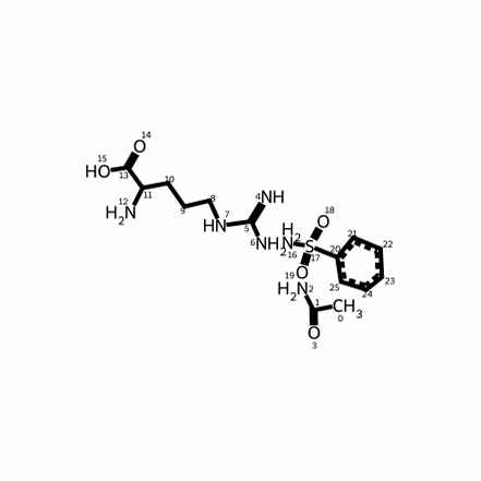 CC(N)=O.N=C(N)NCCCC(N)C(=O)O.NS(=O)(=O)c1ccccc1